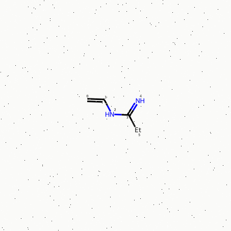 C=CNC(=N)CC